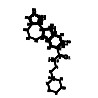 Cl.O=C(NCCN1CCCCC1)c1ccc2[nH]c3c(c2c1)CCCc1cn[nH]c1-3